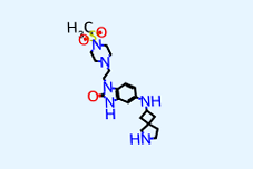 CS(=O)(=O)N1CCN(CCn2c(=O)[nH]c3cc(NC4CC5(CCNC5)C4)ccc32)CC1